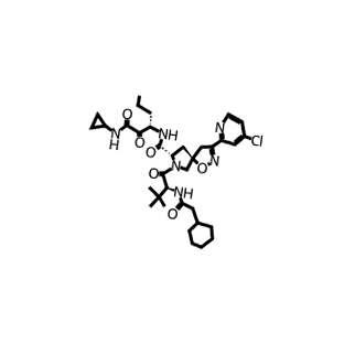 CCC[C@H](NC(=O)[C@@H]1C[C@]2(CC(c3cc(Cl)ccn3)=NO2)CN1C(=O)[C@@H](NC(=O)CC1CCCCC1)C(C)(C)C)C(=O)C(=O)NC1CC1